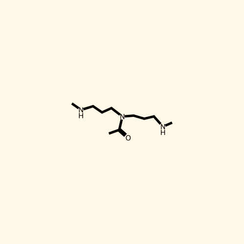 CNCCCN(CCCNC)C(C)=O